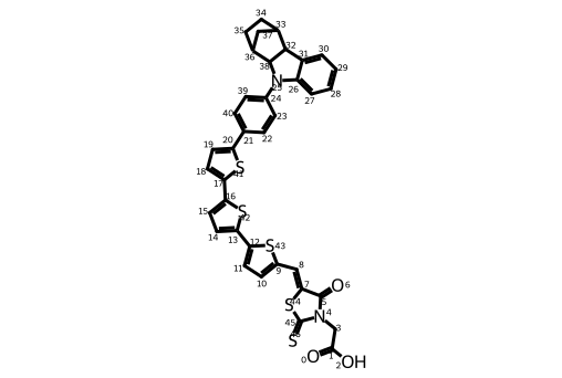 O=C(O)CN1C(=O)/C(=C/c2ccc(-c3ccc(-c4ccc(-c5ccc(N6c7ccccc7C7C8CCC(C8)C76)cc5)s4)s3)s2)SC1=S